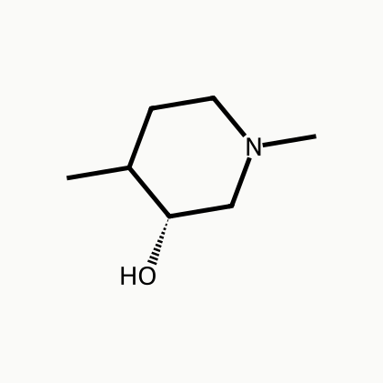 CC1CCN(C)C[C@@H]1O